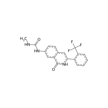 CNC(=O)Nc1ccc2cc(-c3ccccc3C(F)(F)F)[nH]c(=O)c2c1